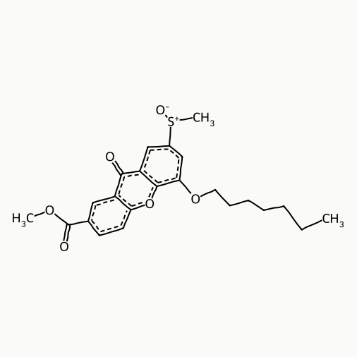 CCCCCCCOc1cc([S+](C)[O-])cc2c(=O)c3cc(C(=O)OC)ccc3oc12